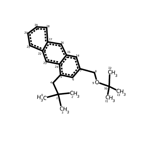 CC(C)(C)Cc1cc(COC(C)(C)C)cc2cc3ccccc3cc12